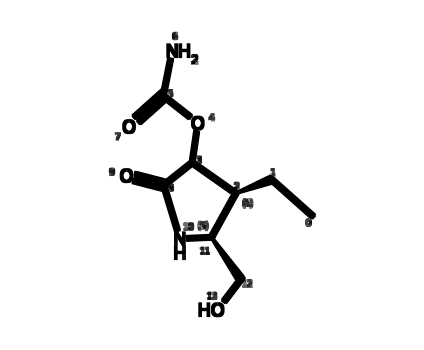 CC[C@@H]1C(OC(N)=O)C(=O)N[C@@H]1CO